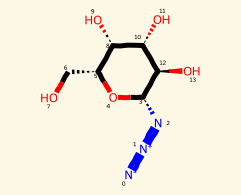 [N-]=[N+]=N[C@@H]1O[C@H](CO)[C@H](O)[C@H](O)[C@H]1O